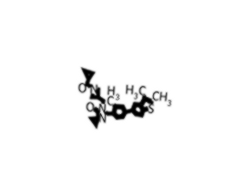 Cc1cc(-c2ccc3sc(C)c(C)c3c2)ccc1C1=NC2(CC2)C(=O)N1CC1CN(C(=O)C2CC2)C1